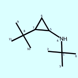 CC(C)(C)NC1CC1C(C)(C)C